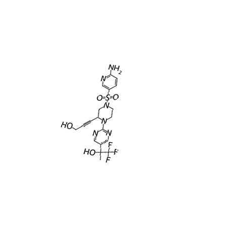 CC(O)(c1cnc(N2CCN(S(=O)(=O)c3ccc(N)nc3)CC2C#CCO)nc1)C(F)(F)F